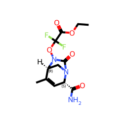 CCOC(=O)C(F)(F)ON1C(=O)N2C[C@H]1C(C)=C[C@H]2C(N)=O